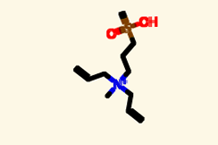 C=CC[N+](C)(CC=C)CCCS(=C)(=O)O